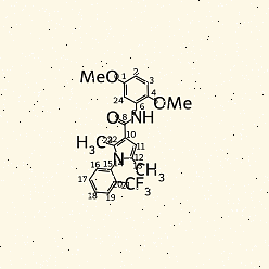 COc1ccc(OC)c(NC(=O)c2cc(C)n(-c3ccccc3C(F)(F)F)c2C)c1